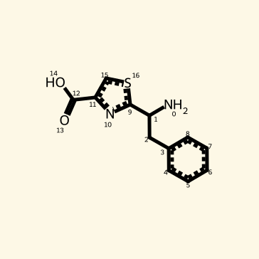 NC(Cc1ccccc1)c1nc(C(=O)O)cs1